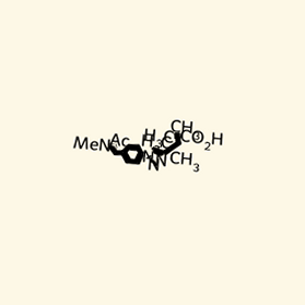 CN[C@@H](Cc1ccc(-n2cc(C(C)(C)CC(C)(C)C(=O)O)nn2)cc1)C(C)=O